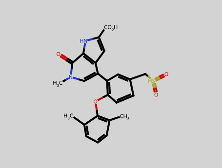 Cc1cccc(C)c1Oc1ccc(C[SH](=O)=O)cc1-c1cn(C)c(=O)c2[nH]c(C(=O)O)cc12